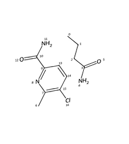 CCCC(N)=O.Cc1nc(C(N)=O)ccc1Cl